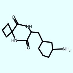 NC1CCCC(CC2NC(=O)C3(CCC3)NC2=O)C1